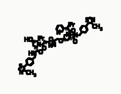 Cc1ncsc1-c1ccc(CNC(=O)[C@@H]2C[C@@H](OCc3nnc([C@H](C(=O)N4C[C@H](O)C[C@H]4C(=O)NCc4ccc(-c5scnc5C)cc4)C(C)C)o3)CN2C(=O)[C@@H](c2cccnc2)C(C)C)cc1